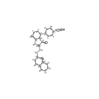 COc1ccc(-c2ccnc3c2C(=O)N(CCc2ccc4ccccc4n2)C3)cc1